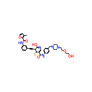 Cc1ccoc1C(=O)Nc1cccc(C#CC2C(=S)C(C(=O)N(C)c3ccc(CN4CCN(CCOCCO)CC4)cc3)=CN=C2O)c1